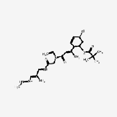 C=CN(CC(=O)NC/C(N)=C/NNC)C(=O)/C=C(\N)C1C=C[C@@H](Cl)CC1NC(=O)C(C)(C)C